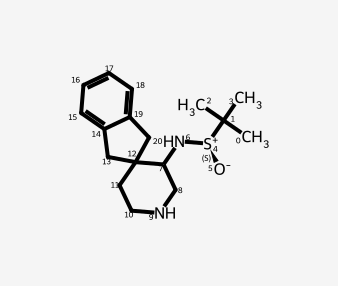 CC(C)(C)[S@@+]([O-])NC1CNCCC12Cc1ccccc1C2